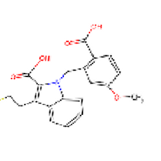 COc1ccc(C(=O)O)c(Cn2c(C(=O)O)c(CCS)c3ccccc32)c1